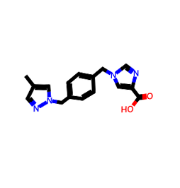 Cc1cnn(Cc2ccc(Cn3cnc(C(=O)O)c3)cc2)c1